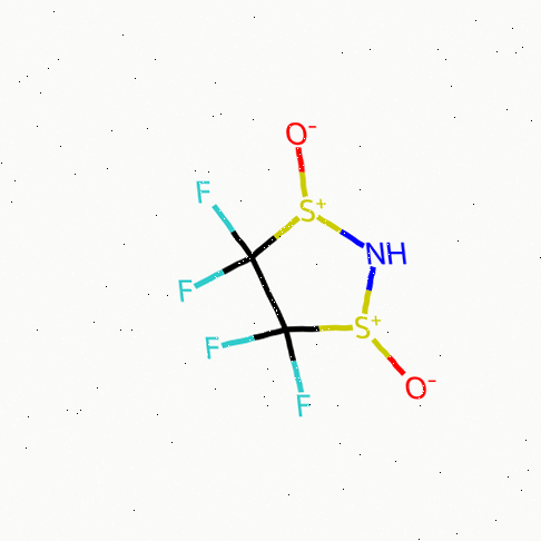 [O-][S+]1N[S+]([O-])C(F)(F)C1(F)F